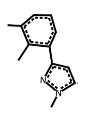 Cc1cccc(-c2c[c]n(C)n2)c1C